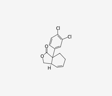 O=C1OC[C@@H]2C=CCCC12c1ccc(Cl)c(Cl)c1